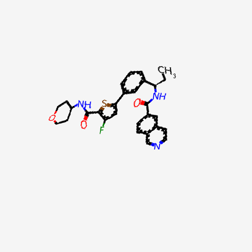 CC[C@@H](NC(=O)c1ccc2cnccc2c1)c1cccc(-c2cc(F)c(C(=O)NC3CCOCC3)s2)c1